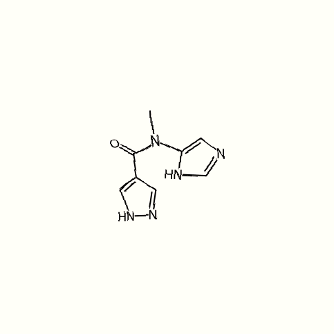 CN(C(=O)c1cn[nH]c1)c1cnc[nH]1